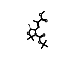 COC(=O)/C(C)=C/[C@@H]1[C@@H](C)OC(C)(C)N1C(=O)OC(C)(C)C